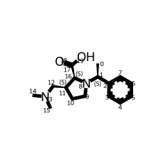 C[C@@H](c1ccccc1)N1CC[C@@H](CN(C)C)[C@H]1C(=O)O